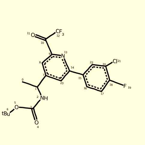 CC(NC(=O)OC(C)(C)C)c1cc(C(=O)C(F)(F)F)nc(-c2ccc(F)c(Cl)c2)c1